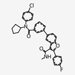 CNC(=O)c1c(-c2ccc(F)cc2)oc2ccc(-c3cccc(C(=O)N(c4ccc(Cl)cc4)C4CCCC4)c3)cc12